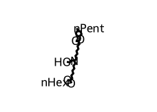 CCCCCCOC(=O)CCCCCCCN(CCO)CCCCCCCC(=O)OC1CCC(CCCCC)CC1